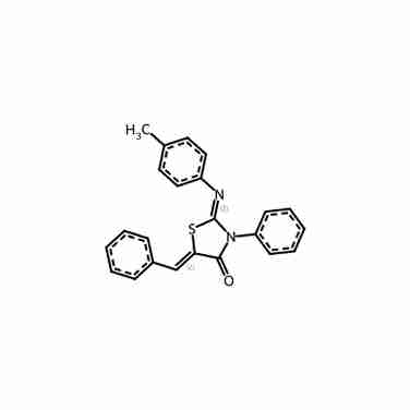 Cc1ccc(/N=C2\S/C(=C\c3ccccc3)C(=O)N2c2ccccc2)cc1